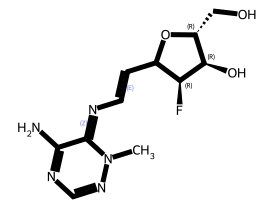 Cn1ncnc(N)/c1=N/C=C/C1O[C@H](CO)[C@@H](O)[C@H]1F